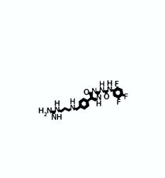 N=C(N)NCCCNCc1ccc(-c2c[nH]c(NC(=O)Nc3cc(F)c(F)cc3F)nc2=O)cc1